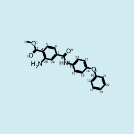 COC(=O)c1ccc(C(=O)Nc2ccc(Oc3ccccc3)cc2)cc1N